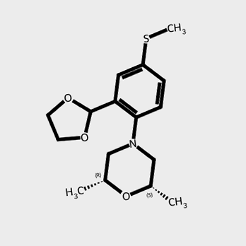 CSc1ccc(N2C[C@@H](C)O[C@@H](C)C2)c(C2OCCO2)c1